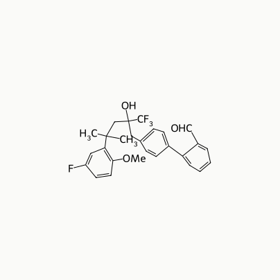 COc1ccc(F)cc1C(C)(C)CC(O)(Cc1ccc(-c2ccccc2C=O)cc1)C(F)(F)F